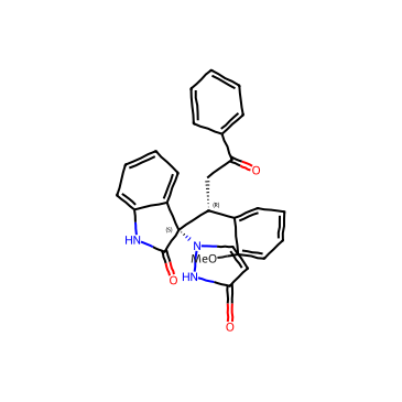 COc1ccccc1[C@@H](CC(=O)c1ccccc1)[C@@]1(n2ccc(=O)[nH]2)C(=O)Nc2ccccc21